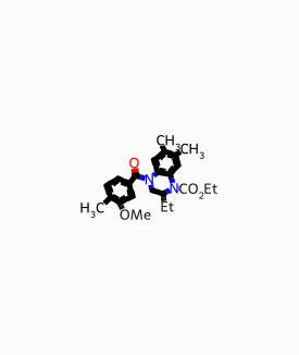 CCOC(=O)N1c2cc(C)c(C)cc2N(C(=O)c2ccc(C)c(OC)c2)CC1CC